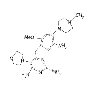 COc1cc(N2CCN(C)CC2)c(N)cc1Cc1nc(N)nc(N)c1N1CCOCC1